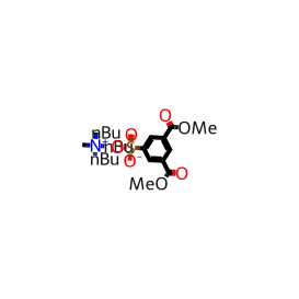 CCCC[N+](C)(CCCC)CCCC.COC(=O)c1cc(C(=O)OC)cc(S(=O)(=O)[O-])c1